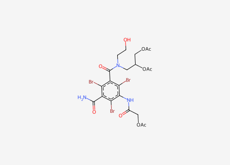 CC(=O)OCC(=O)Nc1c(Br)c(C(N)=O)c(Br)c(C(=O)N(CCO)CC(COC(C)=O)OC(C)=O)c1Br